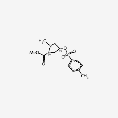 COC(=O)[C@@H]1C[C@@H](OS(=O)(=O)c2ccc(C)cc2)CN1C